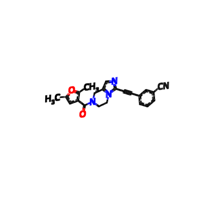 Cc1cc(C(=O)N2CCn3c(cnc3C#Cc3cccc(C#N)c3)C2)c(C)o1